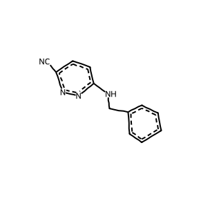 N#Cc1ccc(NCc2ccccc2)nn1